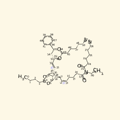 CCCCB1OC2CC(O1)[C@H](C/C=C\CCCC(=O)N(CC)C(=O)CCCCCBr)[C@H]2/C=C/[C@H](CCc1ccccc1)OC(=O)CCCCCBr